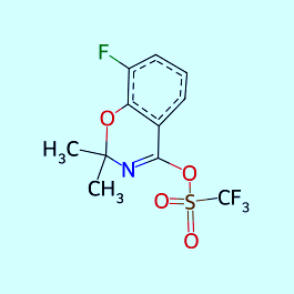 CC1(C)N=C(OS(=O)(=O)C(F)(F)F)c2cccc(F)c2O1